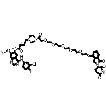 COc1cc2ncnc(Nc3ccc(F)c(Cl)c3)c2cc1NC(=O)/C=C/CN1CCN(C(=O)COCCOCCOCCOCCOCCSc2cccc3c2CN(C2CCC(=O)NC2=O)C3=O)CC1